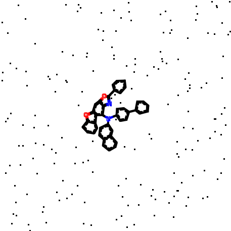 c1ccc(-c2ccc(N(c3ccc4ccccc4c3)c3c4nc(-c5ccccc5)oc4cc4oc5ccccc5c34)cc2)cc1